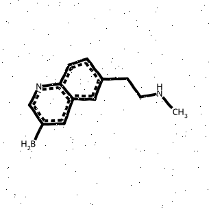 Bc1cnc2ccc(CCNC)cc2c1